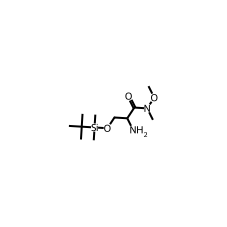 CON(C)C(=O)C(N)CO[Si](C)(C)C(C)(C)C